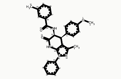 COc1ccc([C@H]2c3c(C)nn(-c4ccccc4)c3NC(=O)[C@H]2NC(=O)c2cccc(C)c2)cc1